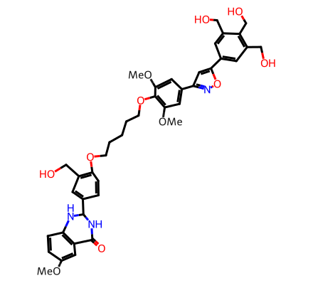 COc1ccc2c(c1)C(=O)NC(c1ccc(OCCCCCOc3c(OC)cc(-c4cc(-c5cc(CO)c(CO)c(CO)c5)on4)cc3OC)c(CO)c1)N2